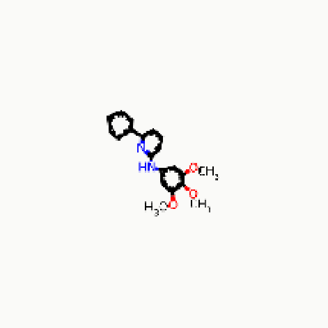 COc1cc(Nc2cccc(-c3ccccc3)n2)cc(OC)c1OC